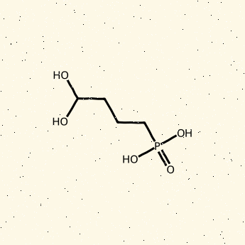 O=P(O)(O)CCCC(O)O